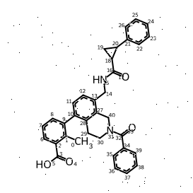 Cc1c(C(=O)O)cccc1-c1ccc(CNC(=O)C2CC2c2ccccc2)c2c1CCN(C(=O)c1ccccc1)C2